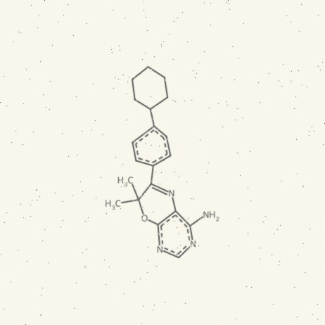 CC1(C)Oc2ncnc(N)c2N=C1c1ccc(C2CCCCC2)cc1